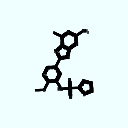 COc1ncc(-c2nc3c(C)nc(N)nc3s2)cc1NS(=O)(=O)c1cccs1